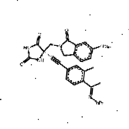 CCC/N=C(\C)c1ccc(C#C[C@]2(CN3Cc4ccc(OC)cc4C3=O)NC(=O)NC2=O)cc1C